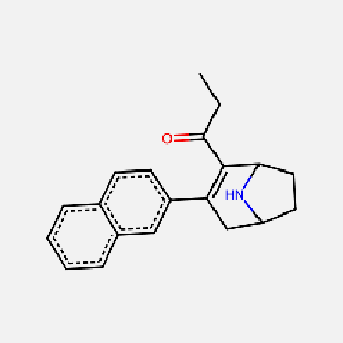 CCC(=O)C1=C(c2ccc3ccccc3c2)CC2CCC1N2